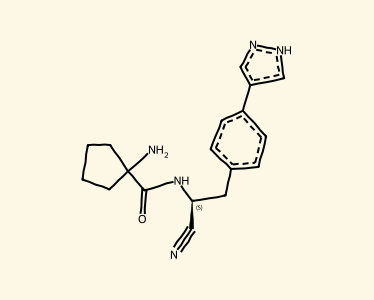 N#C[C@H](Cc1ccc(-c2cn[nH]c2)cc1)NC(=O)C1(N)CCCC1